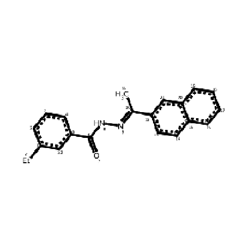 CCc1cccc(C(=O)NN=C(C)c2ccc3ccccc3c2)c1